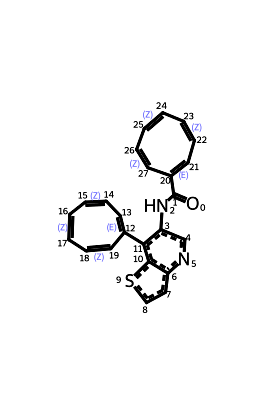 O=C(Nc1cnc2ccsc2c1C1=C/C=C\C=C/C=C\1)C1=C/C=C\C=C/C=C\1